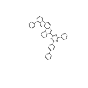 c1ccc(-c2ccc(-c3nc(-c4ccccc4)nc(-c4cc5ccc6c7cccc(-c8ccccc8)c7sc6c5c5ccccc45)n3)cc2)cc1